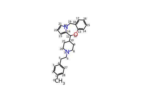 Cc1ccc(CCN2CCC(C3Oc4ccccc4Cn4cccc43)CC2)cc1